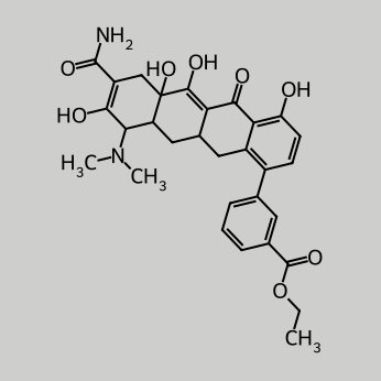 CCOC(=O)c1cccc(-c2ccc(O)c3c2CC2CC4C(N(C)C)C(O)=C(C(N)=O)CC4(O)C(O)=C2C3=O)c1